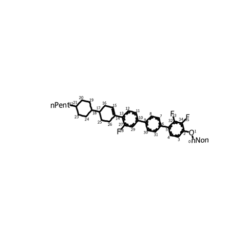 CCCCCCCCCOc1ccc(-c2ccc(-c3ccc(C4=CCC(C5CCC(CCCCC)CC5)CC4)c(F)c3)cc2)c(F)c1F